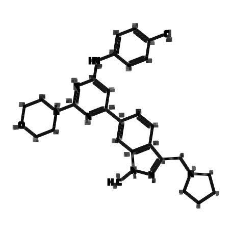 Cn1nc(CN2CCCC2)c2ccc(-c3cc(Nc4ccc(Cl)cc4)nc(N4CCOCC4)n3)cc21